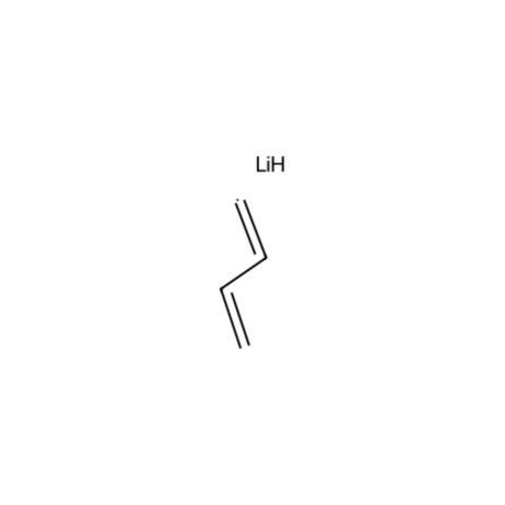 [CH]=CC=C.[LiH]